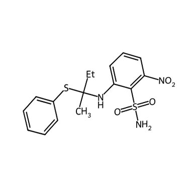 CCC(C)(Nc1cccc([N+](=O)[O-])c1S(N)(=O)=O)Sc1ccccc1